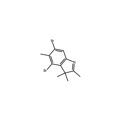 CC1=Nc2cc(Br)c(C)c(Br)c2C1(C)C